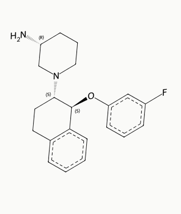 N[C@@H]1CCCN([C@H]2CCc3ccccc3[C@@H]2Oc2cccc(F)c2)C1